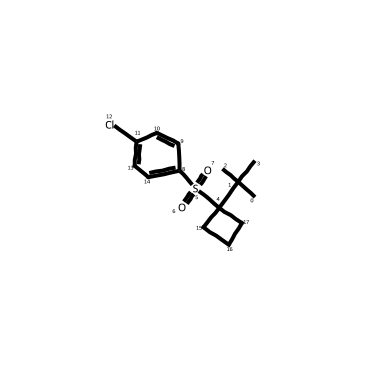 CC(C)(C)C1(S(=O)(=O)c2ccc(Cl)cc2)CCC1